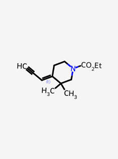 C#C/C=C1\CCN(C(=O)OCC)CC1(C)C